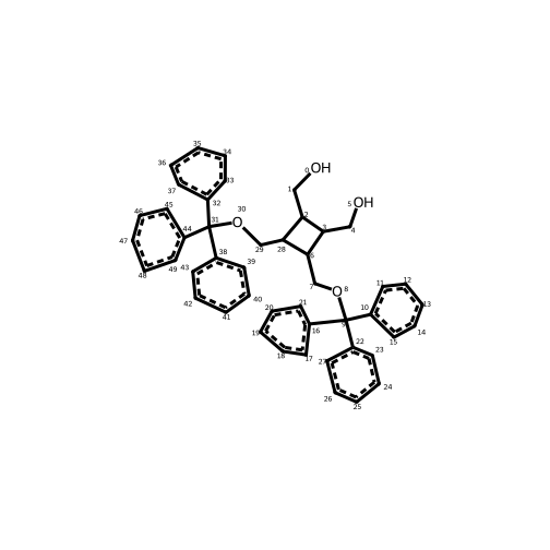 OCC1C(CO)C(COC(c2ccccc2)(c2ccccc2)c2ccccc2)C1COC(c1ccccc1)(c1ccccc1)c1ccccc1